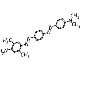 Cc1cc(N=Nc2ccc(/N=N/c3ccc(N(C)C)cc3)cc2)c(C)cc1N